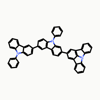 c1ccc(-n2c3ccccc3c3cc(-c4ccc5c(c4)c4ccc(-c6cc7c8ccccc8n8c9ccccc9c(c6)c78)cc4n5-c4ccccc4)ccc32)cc1